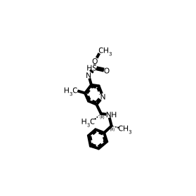 CO[SH](=O)=Nc1cnc([C@@H](C)N[C@H](C)c2ccccc2)cc1C